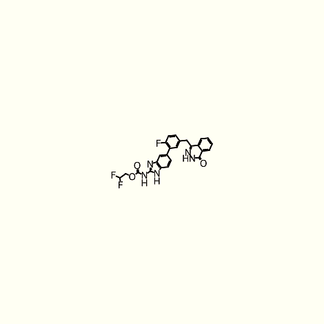 O=C(Nc1nc2cc(-c3cc(Cc4n[nH]c(=O)c5ccccc45)ccc3F)ccc2[nH]1)OCC(F)F